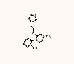 Cc1ccc(-c2cccnc2C)c(OCCc2cnoc2)c1